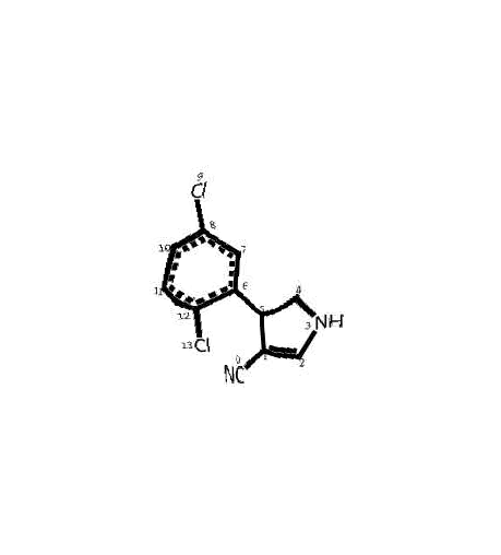 N#CC1=CNCC1c1cc(Cl)ccc1Cl